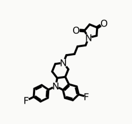 O=C1CC(=O)N(CCCCN2CCC3C(C2)c2cc(F)ccc2N3c2ccc(F)cc2)C1